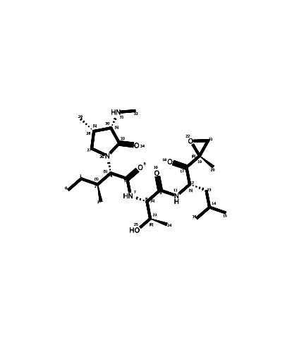 CC[C@H](C)[C@@H](C(=O)N[C@H](C(=O)N[C@@H](CC(C)C)C(=O)[C@@]1(C)CO1)[C@@H](C)O)N1C[C@H](C)[C@H](NC)C1=O